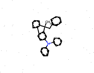 CC1(Cc2ccccc2)c2ccccc2-c2ccc(N(c3ccccc3)c3ccccc3)cc21